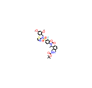 COc1ccc(CN(c2nccs2)S(=O)(=O)c2ccc3c(oc(=O)n3C(C)c3cccc(C)c3CNC(=O)OC(C)(C)C)c2F)c(OC)c1